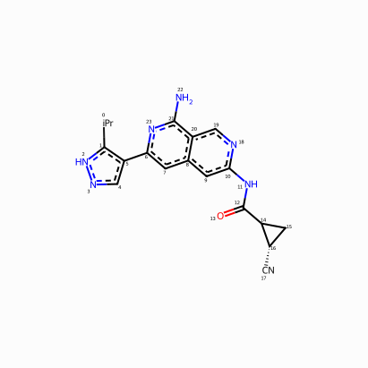 CC(C)c1[nH]ncc1-c1cc2cc(NC(=O)C3C[C@@H]3C#N)ncc2c(N)n1